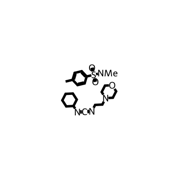 C(=NCCN1CCOCC1)=NC1CCCCC1.CNS(=O)(=O)c1ccc(C)cc1